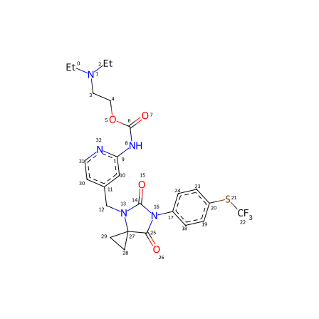 CCN(CC)CCOC(=O)Nc1cc(CN2C(=O)N(c3ccc(SC(F)(F)F)cc3)C(=O)C23CC3)ccn1